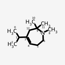 CC(C)C1=CCCN(C)C(C)(C)C1